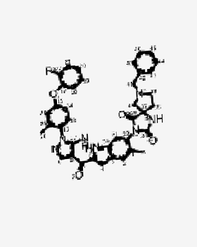 Cc1cc2cc(C(=O)c3cnn(-c4ccc(Oc5ccccc5F)cc4C)c3N)[nH]c2cc1N1C(=O)NC2(CCN(Cc3ccccc3)C2)C1=O